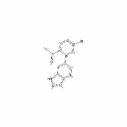 O=[N+]([O-])c1ccc(Br)cc1-c1ccc2cn[nH]c2c1